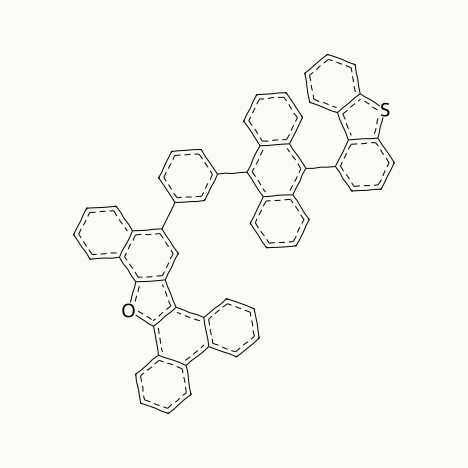 c1cc(-c2c3ccccc3c(-c3cccc4sc5ccccc5c34)c3ccccc23)cc(-c2cc3c(oc4c5ccccc5c5ccccc5c34)c3ccccc23)c1